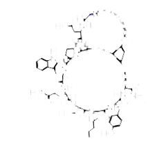 CCCCC[C@@H]1NC(=O)[C@H](CO)NC(=O)[C@H](CCC(N)=O)NC(=O)[C@H](Cc2c[nH]c3ccccc23)NC(=O)[C@@H]2CCCN2C(=O)[C@@H]2CSCc3cc(cc(c3)OCCCCCCO/N=C/C(=O)NC(CC(=O)O)C(=O)N2)CSCC(C(N)=O)NC(=O)[C@H](Cc2ccc(O)cc2)NC1=O